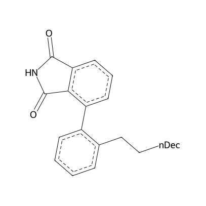 CCCCCCCCCCCCc1ccccc1-c1cccc2c1C(=O)NC2=O